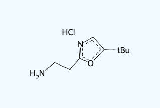 CC(C)(C)c1cnc(CCN)o1.Cl